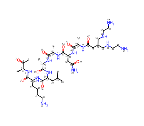 CC(=O)[C@H](C)NC(=O)[C@H](CCCCN)NC(=O)[C@H](CC(C)C)NC(=O)[C@H](C)NC(=O)[C@H](C)NC(=O)[C@H](CC(N)=O)NC(=O)[C@H](C)NC(=O)CC(CNCCN)CNCCN